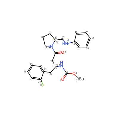 CC(C)(C)OC(=O)N[C@@H](CC(=O)N1CCC[C@H]1CNc1ccccc1)Cc1ccccc1F